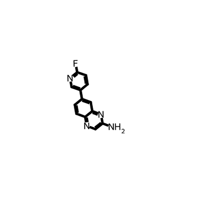 Nc1cnc2ccc(-c3ccc(F)nc3)cc2n1